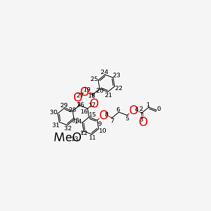 C=CC(=O)OCCCOc1ccc(OC)cc1C(OC(=O)c1ccccc1)C(=O)c1ccccc1